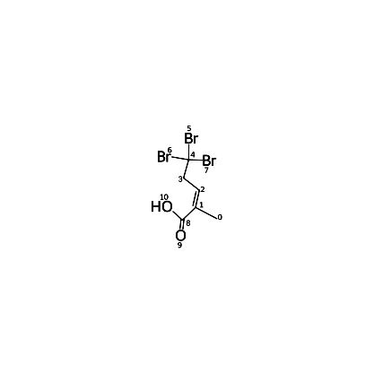 CC(=CCC(Br)(Br)Br)C(=O)O